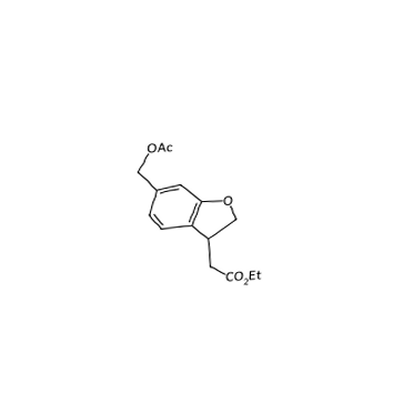 CCOC(=O)CC1COc2cc(COC(C)=O)ccc21